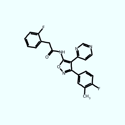 Cc1cc(-c2noc(NC(=O)Cc3ccccc3F)c2-c2ccncn2)ccc1F